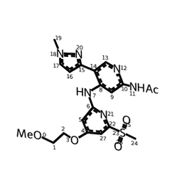 COCCOc1cc(Nc2cc(NC(C)=O)ncc2-c2ccn(C)n2)nc(S(C)(=O)=O)c1